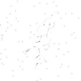 C[C@]12CC[C@H](O)C[C@H]1CC[C@H]1C(=O)[C@@](C)([C@H](CC#N)C3=CC(=O)OC3)CC[C@@H]12